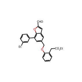 CCOC(=O)Cc1ccccc1OCc1cc(-c2cccc(CC)c2)c2oc(C=O)cc2c1